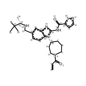 C=CC(=O)N1CCC[C@@H](n2c(NC(=O)c3ccns3)nc3cc(CN[C@@H](C)C(C)(C)C)ccc32)CC1